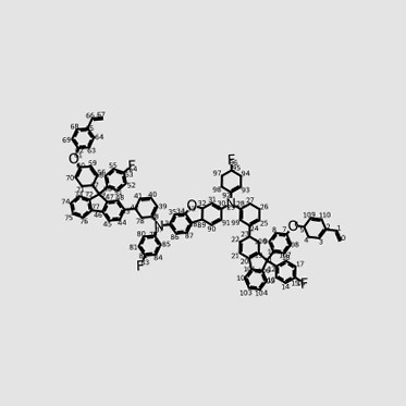 C=CC1=CCC(Oc2ccc(C3(c4ccc(F)cc4)C4=C(C=CC(C5=CCCC(N(C6=CC7Oc8cc(N(C9=CC=CC(c%10ccc%11c(c%10)C(c%10ccc(F)cc%10)(C%10C=CC(Oc%12ccc(C=C)cc%12)=CC%10)c%10ccccc%10-%11)C9)c9ccc(F)cc9)ccc8C7C=C6)C6=CCC(F)CC6)=C5)C4)c4ccccc43)cc2)C=C1